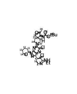 CCNc1nccc(-c2nn(C3CCCCO3)c3nc(N4CCC5(CC4)CO[C@@H](C)[C@H]5NC(=O)OC(C)(C)C)c(Cl)nc23)c1Cl